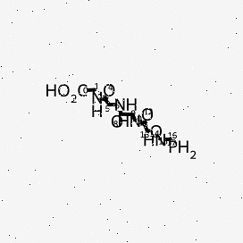 O=C(O)CNC(=O)CNC(=O)CNC(=O)CONCP